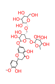 COc1ccc(C2CC(=O)c3c(O)cc(O[C@@H]4OC(CO[C@@H]5OC(C)[C@H](O)[C@H](O)C5O)[C@@H](COC[C@H]5OC(CO)[C@@H](O)C(O)C5O)C(O)C4O)cc3O2)cc1O